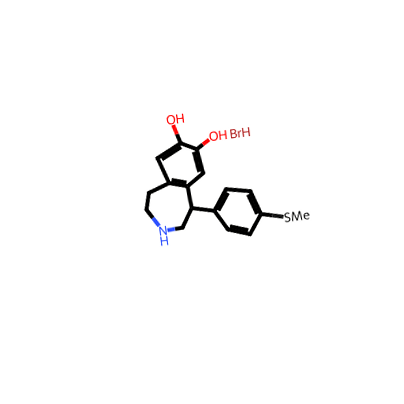 Br.CSc1ccc(C2CNCCc3cc(O)c(O)cc32)cc1